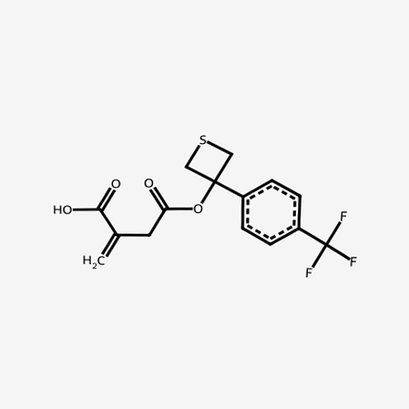 C=C(CC(=O)OC1(c2ccc(C(F)(F)F)cc2)CSC1)C(=O)O